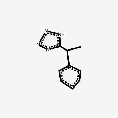 CC(c1ccccc1)c1nnn[nH]1